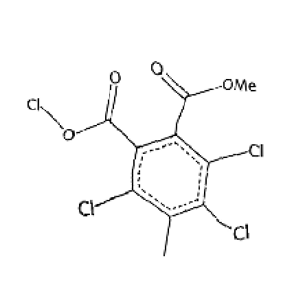 COC(=O)c1c(Cl)c(Cl)c(C)c(Cl)c1C(=O)OCl